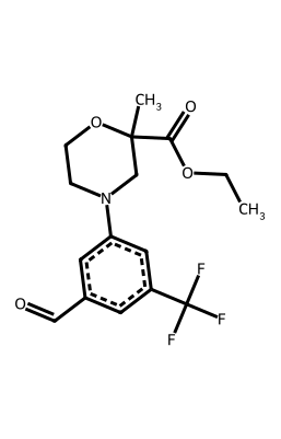 CCOC(=O)C1(C)CN(c2cc(C=O)cc(C(F)(F)F)c2)CCO1